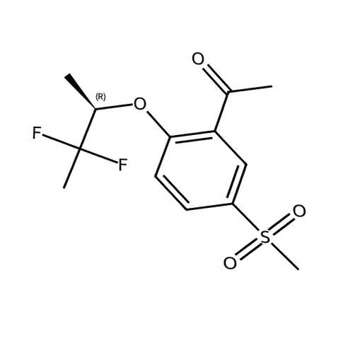 CC(=O)c1cc(S(C)(=O)=O)ccc1O[C@H](C)C(C)(F)F